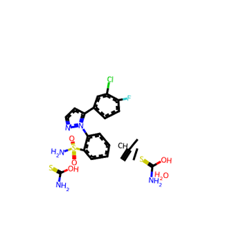 C.C#CC.CC.NC(O)=S.NC(O)=S.NS(=O)(=O)c1ccccc1-n1nccc1-c1ccc(F)c(Cl)c1.O